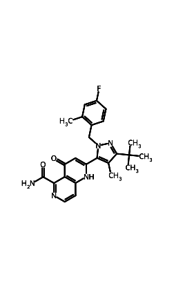 Cc1cc(F)ccc1Cn1nc(C(C)(C)C)c(C)c1-c1cc(=O)c2c(C(N)=O)nccc2[nH]1